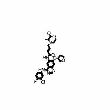 C[C@H]1C(=O)OCCN1CC=CC(=O)Nc1cc2c(Nc3ccc(F)c(Cl)c3)ncnc2cc1O[C@H]1CCOC1